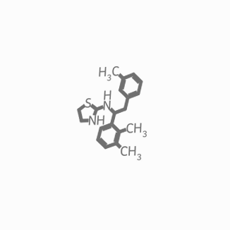 Cc1cccc(CC(NC2NCCS2)c2cccc(C)c2C)c1